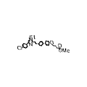 CCn1cc(-c2ccc(Cl)cc2)nc1C=Cc1ccc(-c2ccc(OCCCC(=O)OC)cc2)cc1